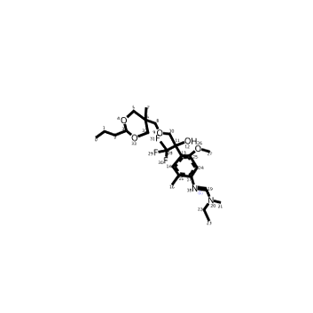 CCCC1OCC(C)(COCC(O)(c2cc(C)c(/N=C/N(C)CC)cc2OC)C(F)(F)F)CO1